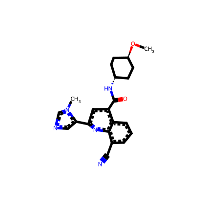 CO[C@H]1CC[C@H](NC(=O)c2cc(-c3cncn3C)nc3c(C#N)cccc23)CC1